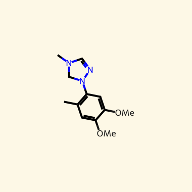 COc1cc(C)c(N2CN(C)C=N2)cc1OC